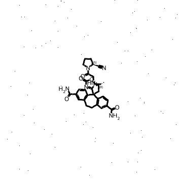 C[C@H](CC1(c2nc(=O)on2C)c2ccc(C(N)=O)cc2CCc2cc(C(N)=O)ccc21)NCC(=O)N1CCC[C@H]1C#N